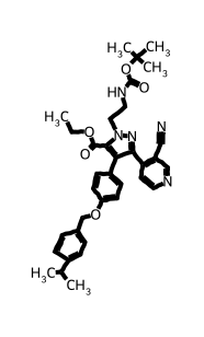 CCOC(=O)c1c(-c2ccc(OCc3ccc(C(C)C)cc3)cc2)c(-c2ccncc2C#N)nn1CCNC(=O)OC(C)(C)C